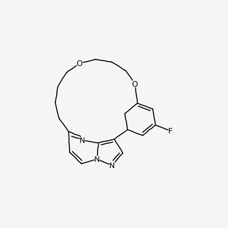 FC1=CC2CC(=C1)OCCCOCCCCc1ccn3ncc2c3n1